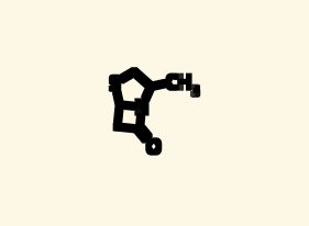 CC1CSC2CC(=O)N12